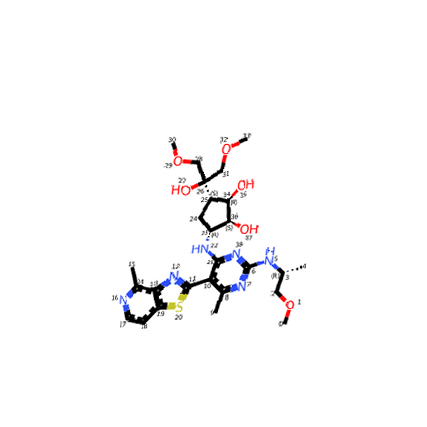 COC[C@@H](C)Nc1nc(C)c(-c2nc3c(C)nccc3s2)c(N[C@@H]2C[C@H](C(O)(COC)COC)[C@@H](O)[C@H]2O)n1